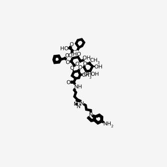 CC1CC(C(=O)NCCCc2cn(CCCn3ccc4cc(N)ccc43)nn2)C[C@@H](O[C@@H]2OC(CO)[C@H](O)C(O[C@@H](CC3CCCCC3)C(=O)O)C2OC(=O)c2ccccc2)C1O[C@@H]1OC(C)[C@@H](O)C(O)C1O